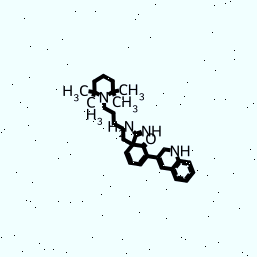 CC1(C)CCCC(C)(C)N1CCCCCC1(C(=N)N)C=CC=C(C2=Cc3ccccc3NC2)C1=O